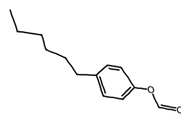 CCCCCCc1ccc(OC=O)cc1